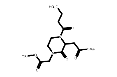 COC(=O)CC1C(=O)N(CC(=O)OC(C)(C)C)CCN1C(=O)CCC(=O)O